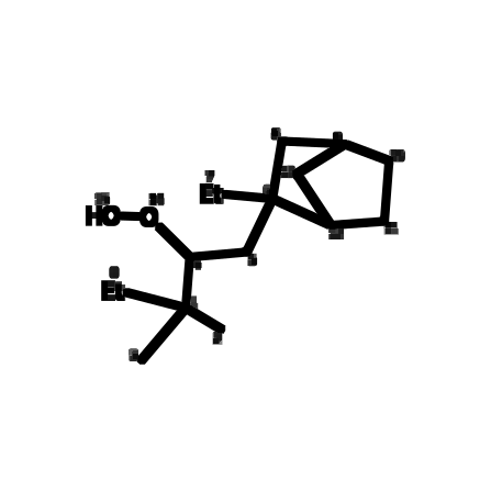 CCC(C)(C)C(CC1(CC)CC2CCC1C2)OO